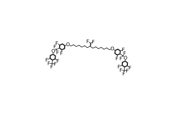 FC(F)=C(CCCCCCCOc1cc(F)c(C(F)(F)Oc2cc(F)c(C(F)(F)F)c(F)c2)c(F)c1)CCCCCCCOc1cc(F)c(C(F)(F)Oc2cc(F)c(C(F)(F)F)c(F)c2)c(F)c1